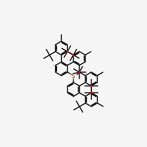 Cc1cc(C(C)(C)C)c(-c2[c]ccc(Sc3cc[c]c(-c4c(C(C)(C)C)cc(C)cc4C(C)(C)C)c3-c3c(C(C)(C)C)cc(C)cc3C(C)(C)C)c2-c2c(C(C)(C)C)cc(C)cc2C(C)(C)C)c(C(C)(C)C)c1